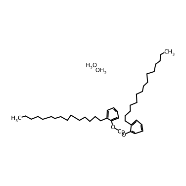 CCCCCCCCCCCCCCCc1ccccc1[O][Co][O]c1ccccc1CCCCCCCCCCCCCCC.O.O